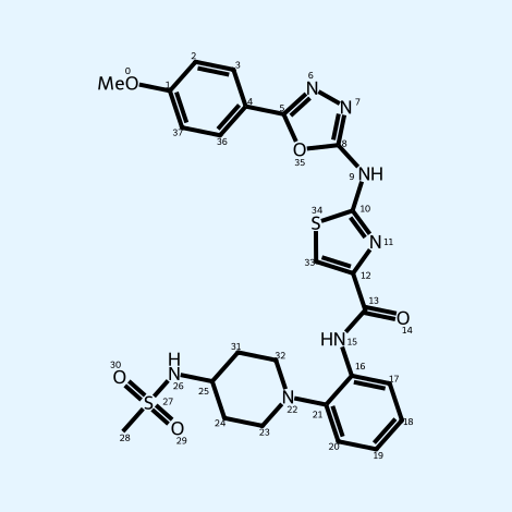 COc1ccc(-c2nnc(Nc3nc(C(=O)Nc4ccccc4N4CCC(NS(C)(=O)=O)CC4)cs3)o2)cc1